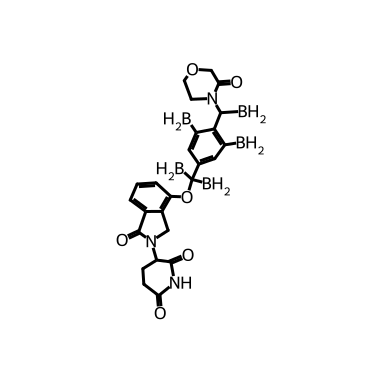 Bc1cc(C(B)(B)Oc2cccc3c2CN(C2CCC(=O)NC2=O)C3=O)cc(B)c1C(B)N1CCOCC1=O